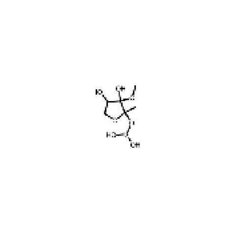 COC1(O)C(O)COC1(C)OB(O)O